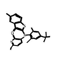 Cc1ccc2sc3c(c2c1)Oc1nc(C)ccc1N3c1c(C)cc(C(C)(C)C)cc1C